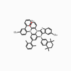 Cc1cccc(C)c1-c1cc2c3c(c1)N(c1ccc4c(c1)C(C)(C)CCC4(C)C)c1c(sc4ccc(C(C)(C)C)cc14)B3c1ccc(C(C)(C)C)cc1N2c1ccc(C(C)(C)C)cc1-c1ccccc1